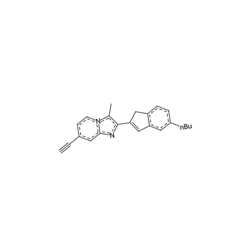 C#Cc1ccn2c(C)c(C3=Cc4cc(CCCC)ccc4C3)nc2c1